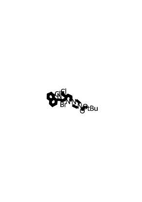 CC(C)(C)OC(=O)N1CCN(c2ccc3c(Cl)nc(-c4cccc5cccc(Cl)c45)c(Br)c3n2)CC1